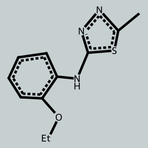 CCOc1ccccc1Nc1nnc(C)s1